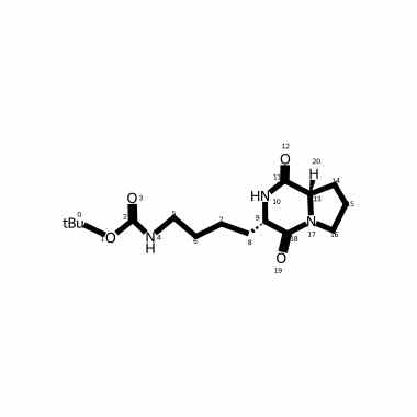 CC(C)(C)OC(=O)NCCCC[C@@H]1NC(=O)[C@@H]2CCCN2C1=O